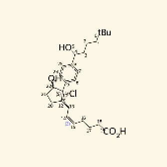 CC(C)(C)CCCC(O)c1ccc([C@@]2(Cl)[C@@H](C/C=C\CCCC(=O)O)CC[C@H]2O)cc1